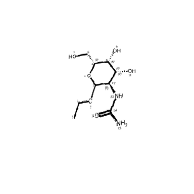 CCOC1O[C@H](CO)[C@H](O)[C@H](O)[C@H]1NC(N)=O